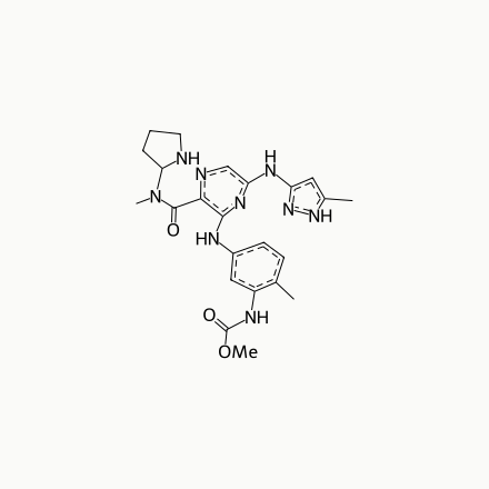 COC(=O)Nc1cc(Nc2nc(Nc3cc(C)[nH]n3)cnc2C(=O)N(C)C2CCCN2)ccc1C